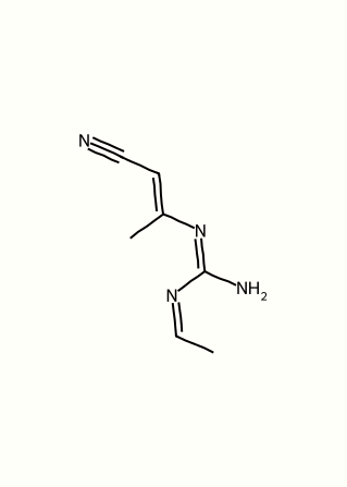 C\C=N/C(N)=N\C(C)=C\C#N